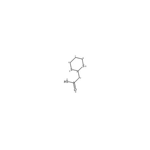 O=C(S)CC1SCCCS1